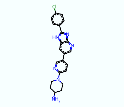 NC1CCN(c2ccc(-c3cnc4nc(-c5ccc(Cl)cc5)[nH]c4c3)cn2)CC1